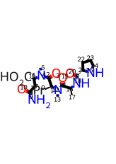 CC(C)[C@@H](C(=O)N(C)[C@@H](CC(N)=O)C(=O)O)N(C)C(=O)[C@H](C)NC(=O)[C@@H]1CCCN1